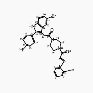 O=C(/C=C/c1ccccc1F)N1CCN(C(=O)Cc2c(-c3ccc(F)cc3)[nH]c3ccc(Br)cc23)CC1